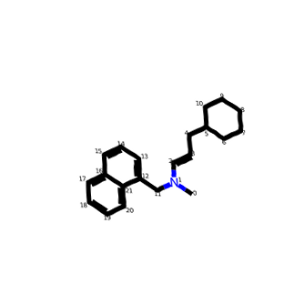 CN(C=CCC1CCCCC1)Cc1cccc2ccccc12